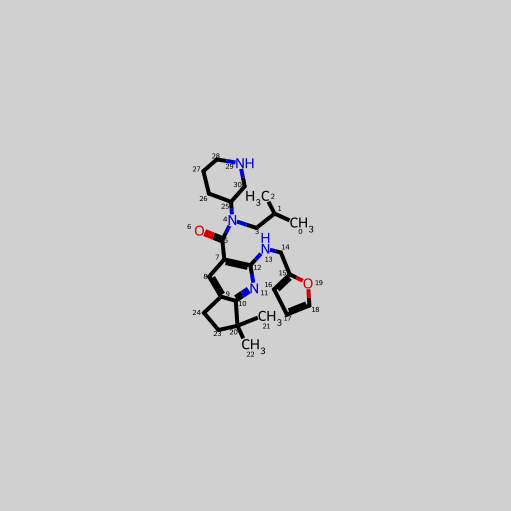 CC(C)CN(C(=O)c1cc2c(nc1NCc1ccco1)C(C)(C)CC2)C1CCCNC1